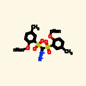 CCCCCCCCCOc1ccc(C)cc1S(=O)(=O)C(=[N+]=[N-])S(=O)(=O)c1cc(C)ccc1OCCCCCCCCC